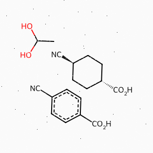 CC(O)O.N#C[C@H]1CC[C@H](C(=O)O)CC1.N#Cc1ccc(C(=O)O)cc1